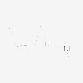 CNN1CC2CCC1C2